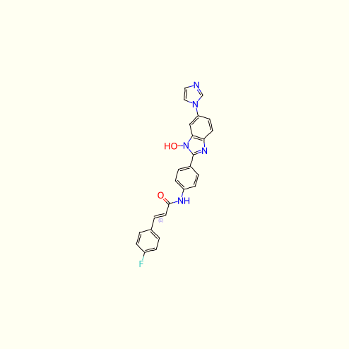 O=C(/C=C/c1ccc(F)cc1)Nc1ccc(-c2nc3ccc(-n4ccnc4)cc3n2O)cc1